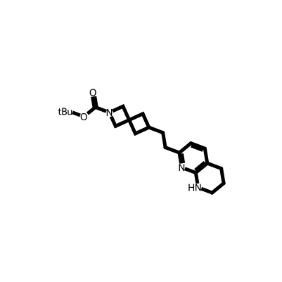 CC(C)(C)OC(=O)N1CC2(CC(CCc3ccc4c(n3)NCCC4)C2)C1